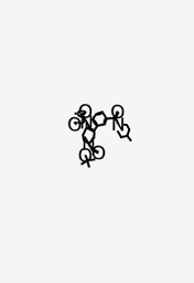 CC1CCN(C(=O)c2ccc3c(c2)c2c(n3S(C)(=O)=O)CCN(C(=O)OC(C)(C)C)C2)CC1